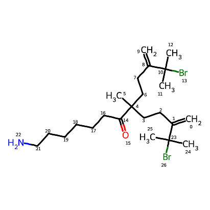 C=C(CCC(C)(CCC(=C)C(C)(C)Br)C(=O)CCCCCCN)C(C)(C)Br